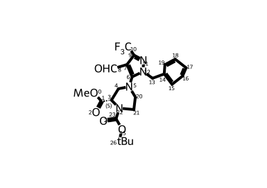 COC(=O)[C@@H]1CN(c2c(C=O)c(C(F)(F)F)nn2Cc2ccccc2)CCN1C(=O)OC(C)(C)C